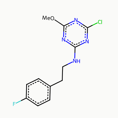 COc1nc(Cl)nc(NCCc2ccc(F)cc2)n1